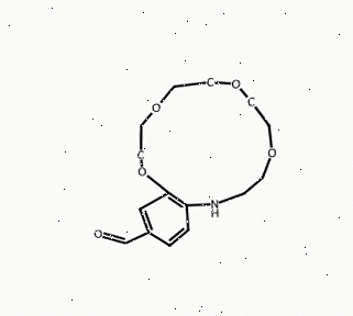 O=Cc1ccc2c(c1)OCCOCCOCCOCCN2